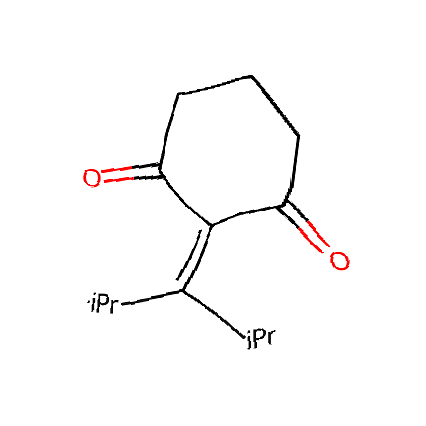 C[C](C)C(=C1C(=O)CCCC1=O)C(C)C